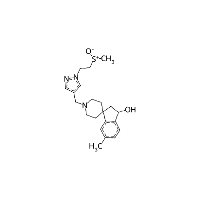 Cc1ccc2c(c1)C1(CCN(Cc3cnn(CC[S+](C)[O-])c3)CC1)CC2O